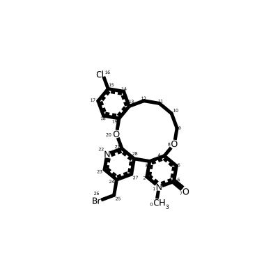 Cn1cc2c(cc1=O)OCCCCc1cc(Cl)ccc1Oc1ncc(CBr)cc1-2